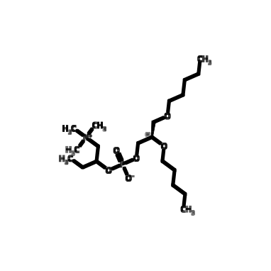 CCCCCOC[C@H](COP(=O)([O-])OC(CC)C[N+](C)(C)C)OCCCCC